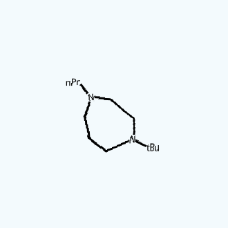 CCCN1CCCN(C(C)(C)C)CC1